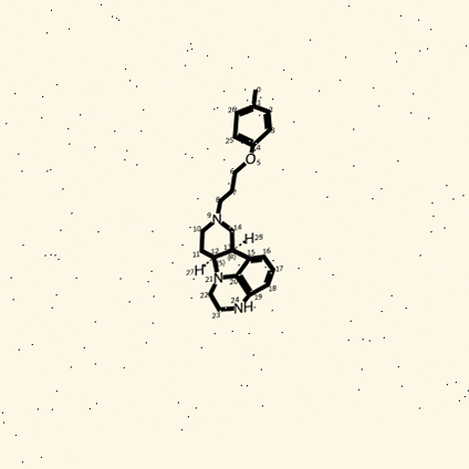 Cc1ccc(OCCCN2CC[C@H]3[C@@H](C2)c2cccc4c2N3CCN4)cc1